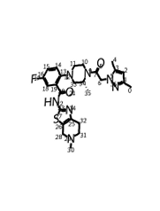 Cc1cc(C)n(CC(=O)N2CCN(c3ccc(F)cc3C(=O)Nc3nc4c(s3)CN(C)CC4)C[C@H]2C)n1